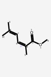 COC(=O)/C(C)=C\C=C(C)C